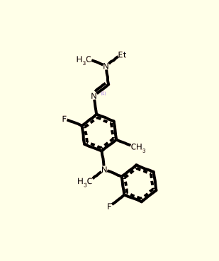 CCN(C)/C=N/c1cc(C)c(N(C)c2ccccc2F)cc1F